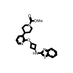 COC(=O)N1CCC(c2cccnc2O[C@H]2C[C@@H](Nc3nc4ccccc4s3)C2)CC1